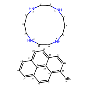 C1CNCCNCCCNCCNC1.CCCCc1ccc2ccc3cccc4ccc1c2c34